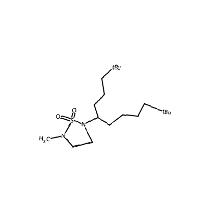 CN1CCN(C(CCCCC(C)(C)C)CCCC(C)(C)C)S1(=O)=O